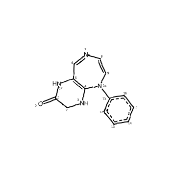 O=C1CNC2=C(C=NC=CN2c2ccccc2)N1